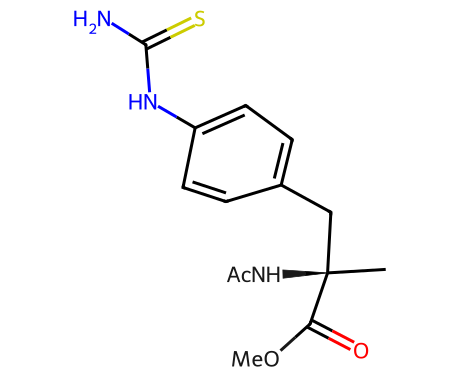 COC(=O)[C@@](C)(Cc1ccc(NC(N)=S)cc1)NC(C)=O